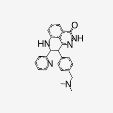 CN(C)Cc1ccc(C2c3n[nH]c(=O)c4cccc(c34)NC2c2ccccn2)cc1